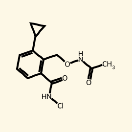 CC(=O)NOCc1c(C(=O)NCl)cccc1C1CC1